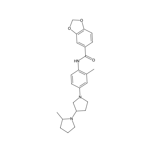 Cc1cc(N2CCC(N3CCCC3C)C2)ccc1NC(=O)c1ccc2c(c1)OCO2